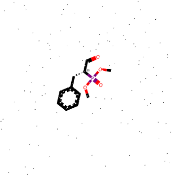 COP(=O)(OC)[C@@H](C=O)Cc1ccccc1